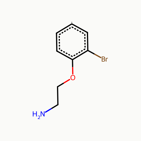 NCCOc1cc[c]cc1Br